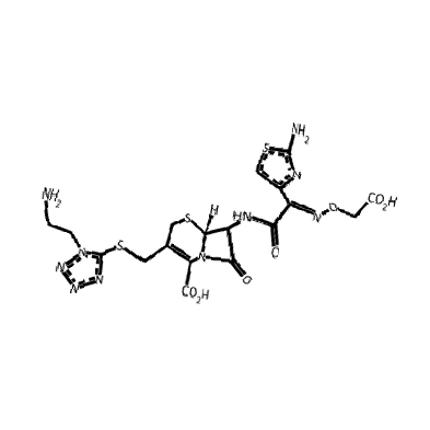 NCCn1nnnc1SCC1=C(C(=O)O)N2C(=O)C(NC(=O)/C(=N/OCC(=O)O)c3csc(N)n3)[C@H]2SC1